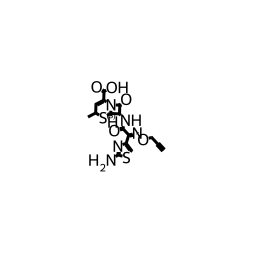 C#CCON=C(C(=O)NC1C(=O)N2C(C(=O)O)=CC(C)S[C@@H]12)c1csc(N)n1